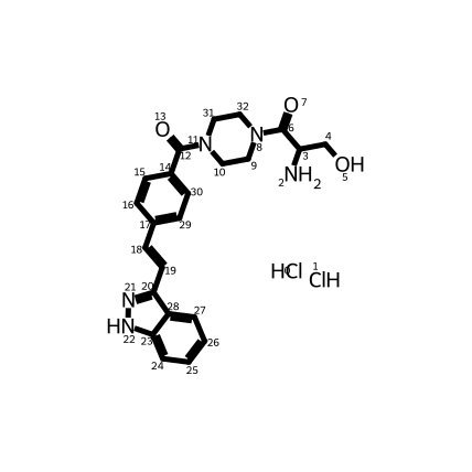 Cl.Cl.NC(CO)C(=O)N1CCN(C(=O)c2ccc(/C=C/c3n[nH]c4ccccc34)cc2)CC1